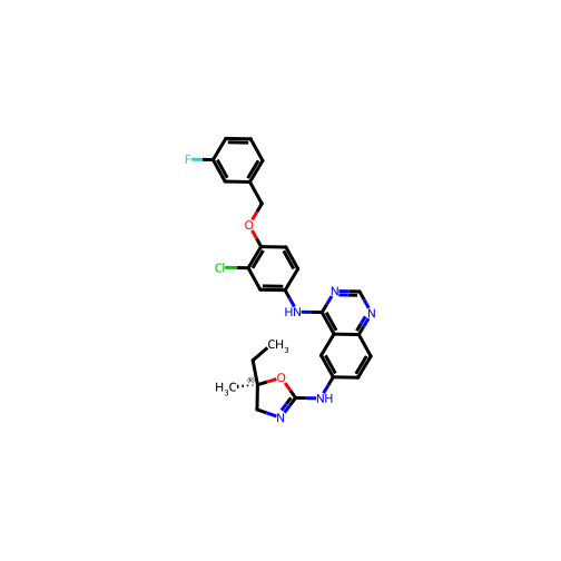 CC[C@]1(C)CN=C(Nc2ccc3ncnc(Nc4ccc(OCc5cccc(F)c5)c(Cl)c4)c3c2)O1